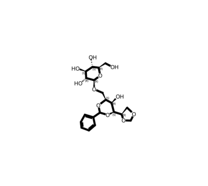 OC[C@H]1O[C@@H](OC[C@@H]2OC(c3ccccc3)O[C@H]([C@H]3COCO3)[C@@H]2O)[C@H](O)[C@@H](O)[C@@H]1O